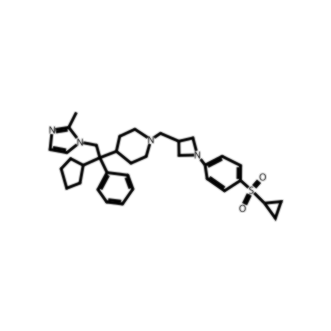 Cc1nccn1CC(c1ccccc1)(C1CCCC1)C1CCN(CC2CN(c3ccc(S(=O)(=O)C4CC4)cc3)C2)CC1